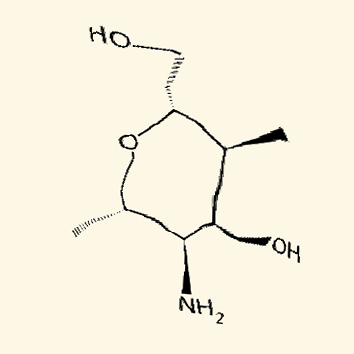 C[C@H]1[C@@H](O)[C@@H](N)[C@H](C)O[C@@H]1CO